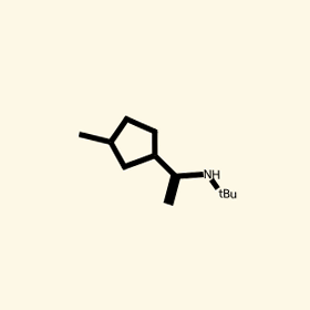 C=C(NC(C)(C)C)C1CCC(C)C1